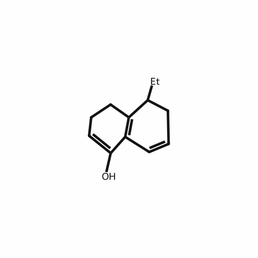 CCC1CC=CC2=C1CCC=C2O